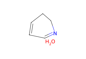 C1=CCCN=C1.O